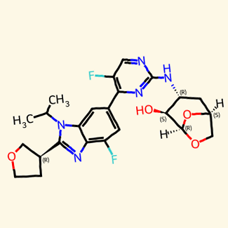 CC(C)n1c([C@H]2CCOC2)nc2c(F)cc(-c3nc(N[C@@H]4C[C@H]5CO[C@H](O5)[C@H]4O)ncc3F)cc21